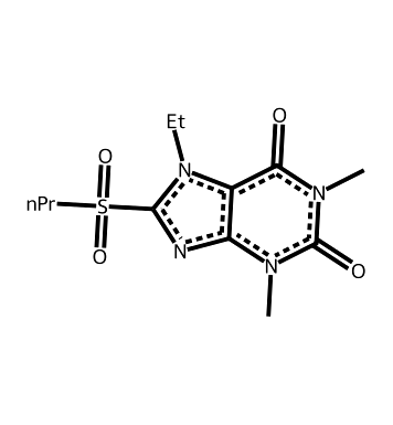 CCCS(=O)(=O)c1nc2c(c(=O)n(C)c(=O)n2C)n1CC